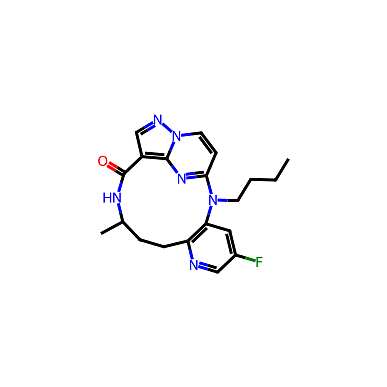 CCCCN1c2ccn3ncc(c3n2)C(=O)NC(C)CCc2ncc(F)cc21